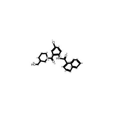 O=C(Nc1ccc(Cl)cc1C(=O)N1CCCC(CO)C1)c1cccc2ccccc12